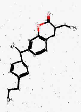 CCCc1ccc(C(C)c2ccc3c(c2)OC(=O)C(CC)C3)cc1